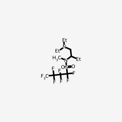 CCC(CN(CC)CC)N(C)S(=O)(=O)C(F)(F)C(F)(F)C(F)(F)C(F)(F)F